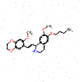 CCCCOc1cc2c(cc1OC)C(/C=C/c1cc3c(cc1OC)OCCO3)NCC2